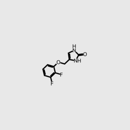 O=c1[nH]cc(COc2cccc(F)c2F)[nH]1